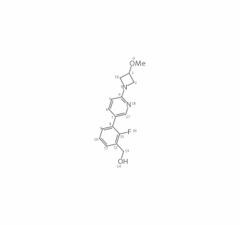 COC1CN(c2ccc(-c3cccc(CO)c3F)cn2)C1